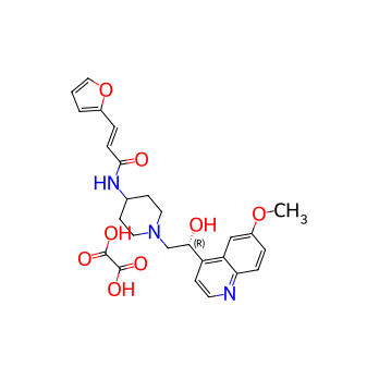 COc1ccc2nccc([C@@H](O)CN3CCC(NC(=O)C=Cc4ccco4)CC3)c2c1.O=C(O)C(=O)O